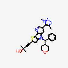 Cc1nnn(C)c1-c1cnc2c3sc(C#CC(C)(C)O)cc3n(C(c3ccccc3)C3CCOCC3)c2c1